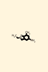 CCn1cc2cc(N)cc(C)c2n1